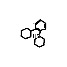 [c]1cccc([SiH]2CCCCC2)c1C1CCCCC1